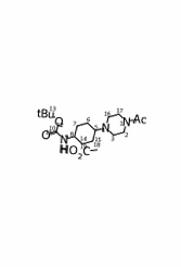 CC(=O)N1CCN(C2CCC(NC(=O)OC(C)(C)C)CC2)CC1.CC(=O)O